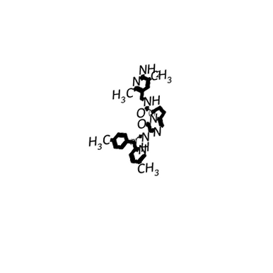 Cc1ccc([C@H](CNc2ncc3n(c2=O)[C@H](C(=O)NCc2cc(C)c(N)nc2C)CC3)c2ccc(C)cn2)cc1